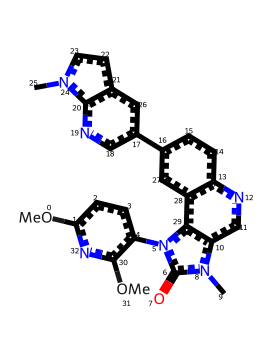 COc1ccc(-n2c(=O)n(C)c3cnc4ccc(-c5cnc6c(ccn6C)c5)cc4c32)c(OC)n1